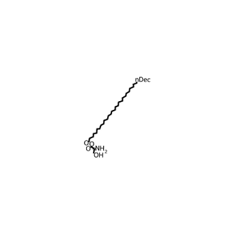 CCCCCCCCCCCCCCCCCCCCCCCCCCCCCCCCCCCCC(=O)OC(=O)[C@@H](N)CO